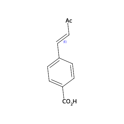 CC(=O)/C=C/c1ccc(C(=O)O)cc1